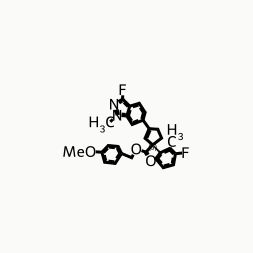 COc1ccc(COC(=O)[C@]2(c3cccc(F)c3C)C=C(c3ccc4c(F)nn(C)c4c3)CC2)cc1